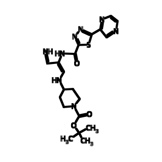 CC(C)(C)OC(=O)N1CCC(N/C=C(\C=N)NC(=O)c2nnc(-c3cnccn3)s2)CC1